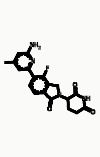 Cc1cc(N)nc(-c2ccc3c(c2F)CN(C2CCC(=O)NC2=O)C3=O)c1